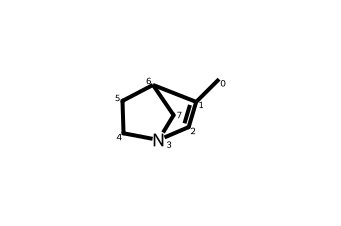 CC1=CN2CCC1C2